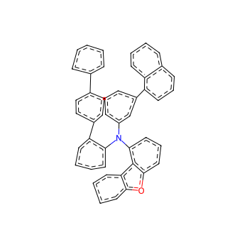 c1ccc(-c2ccc(-c3ccccc3N(c3cccc(-c4cccc5ccccc45)c3)c3cccc4oc5ccccc5c34)cc2)cc1